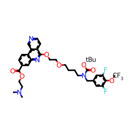 CN(C)CCOC(=O)c1ccc2c(c1)nc(OCCOCCCCN(Cc1cc(F)c(OC(F)(F)F)c(F)c1)C(=O)OC(C)(C)C)c1ccncc12